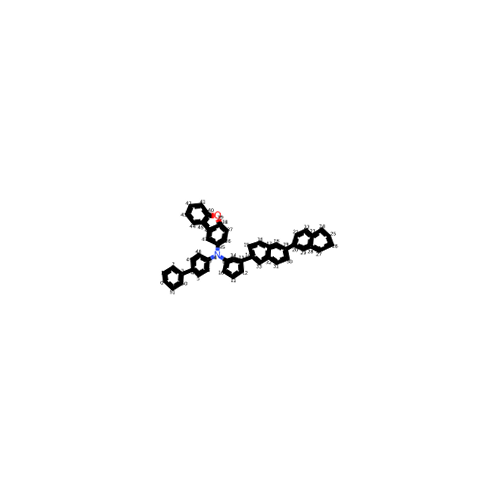 c1ccc(-c2ccc(N(c3cccc(-c4ccc5cc(-c6ccc7ccccc7c6)ccc5c4)c3)c3ccc4oc5ccccc5c4c3)cc2)cc1